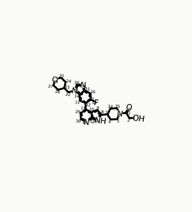 O=C(CO)N1CCC(c2cc3c(-c4cc5c(cc4F)ncn5CC4CCOCC4)ccnc3[nH]2)CC1